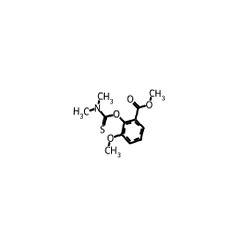 COC(=O)c1cccc(OC)c1OC(=S)N(C)C